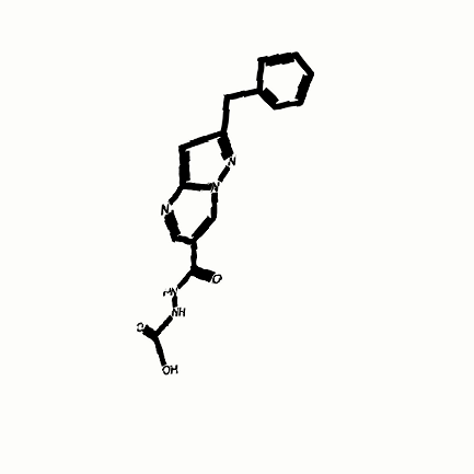 O=C(O)NNC(=O)c1cnc2cc(Cc3ccccc3)nn2c1